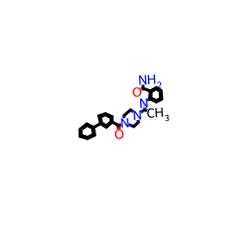 C/C(=N\c1ccccc1C(N)=O)N1CCN(C(=O)c2cccc(-c3ccccc3)c2)CC1